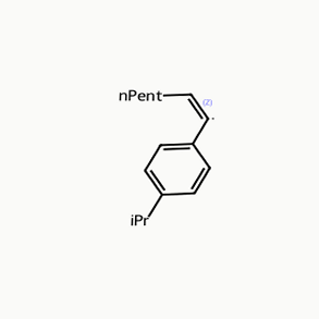 CCCCC/C=[C]\c1ccc(C(C)C)cc1